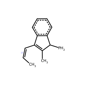 C/C=C\C1=C(C)C(P)c2ccccc21